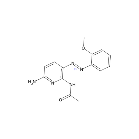 COc1ccccc1/N=N/c1ccc(N)nc1NC(C)=O